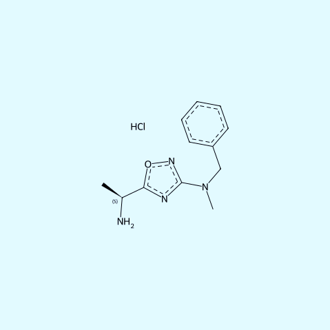 C[C@H](N)c1nc(N(C)Cc2ccccc2)no1.Cl